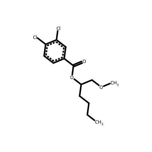 CCCCC(COC)OC(=O)c1ccc(Cl)c(Cl)c1